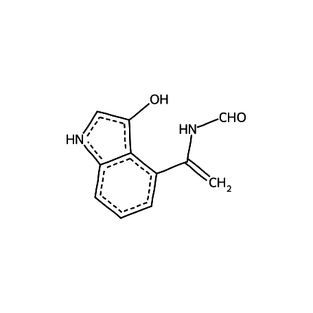 C=C(NC=O)c1cccc2[nH]cc(O)c12